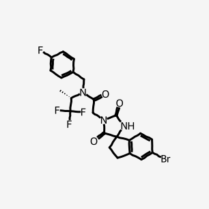 C[C@H](N(Cc1ccc(F)cc1)C(=O)CN1C(=O)NC2(CCc3cc(Br)ccc32)C1=O)C(F)(F)F